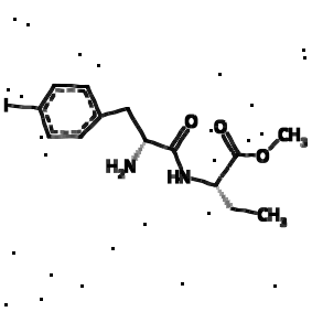 CC[C@H](NC(=O)[C@H](N)Cc1ccc(I)cc1)C(=O)OC